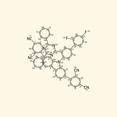 N#Cc1ccc(-c2ccc3c4ccc(-c5ccc(C#N)cc5C#N)cc4n(-c4ccc(-c5ccc(F)cc5F)cc4-c4nc(-c5ccccc5)nc(-c5ccccc5)n4)c3c2)c(C#N)c1